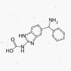 NC(c1ccccc1)c1ccc2[nH]c(NC(=O)O)nc2c1